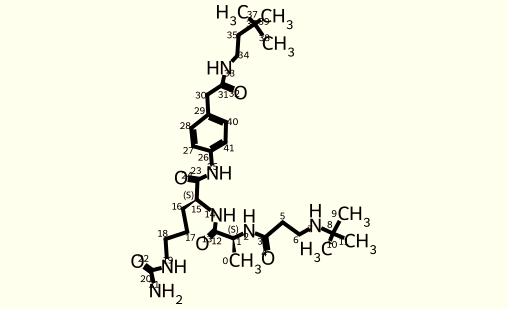 C[C@H](NC(=O)CCNC(C)(C)C)C(=O)N[C@@H](CCCNC(N)=O)C(=O)Nc1ccc(CC(=O)NCCC(C)(C)C)cc1